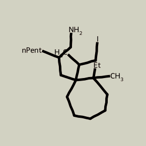 CCCCCC(CN)CC1(C(C)CI)CCCCCC1(C)CC